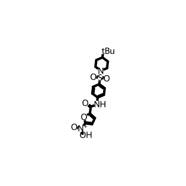 CC(C)(C)C1CCN(S(=O)(=O)c2ccc(NC(=O)c3ccc([N+](=O)O)o3)cc2)CC1